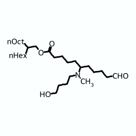 CCCCCCCCC(CCCCCC)COC(=O)CCCCC(CCCCC=O)N(C)CCCCO